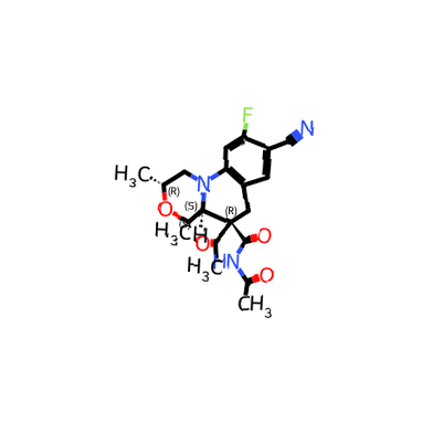 CC(=O)NC(=O)[C@]1(C(C)=O)Cc2cc(C#N)c(F)cc2N2C[C@@H](C)O[C@@H](C)[C@@H]21